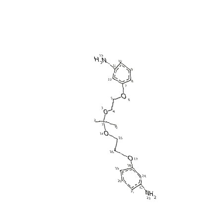 CC(C)(OCCOc1cccc(N)c1)OCCOc1cccc(N)c1